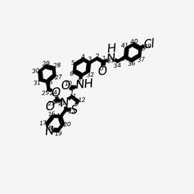 O=C(Cc1cccc(NC(=O)[C@@H]2CSC(c3ccncc3)N2C(=O)OCc2ccccc2)c1)NCc1ccc(Cl)cc1